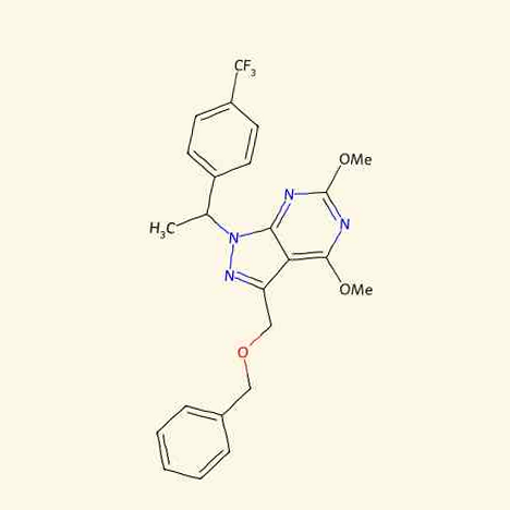 COc1nc(OC)c2c(COCc3ccccc3)nn(C(C)c3ccc(C(F)(F)F)cc3)c2n1